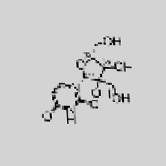 O=c1ccn([C@@H]2O[C@H](CO)[C@@H](O)[C@]2(O)CO)c(=O)[nH]1